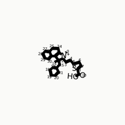 C[N+]1=C(/C=C/c2ccc(C(=O)O)s2)C(C)(Cc2ccccc2)c2c1ccc1ccccc21